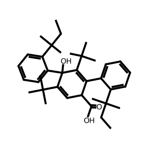 CCC(C)(C)c1ccccc1C1=C(C(C)(C)C)C(O)(c2ccccc2C(C)(C)CC)C(C(C)(C)C)=CC1C(=O)O